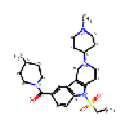 CCS(=O)(=O)n1c2c(c3cc(C(=O)N4CCC(C)CC4)ccc31)CN(C1CCN(C)CC1)CC2